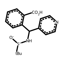 CC(C)(C)[S+]([O-])NC(c1ccncc1)c1ccccc1C(=O)O